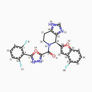 O=C(c1nnc(-c2c(F)cccc2F)o1)N1CCc2[nH]cnc2[C@H]1c1cc2c(F)cccc2o1